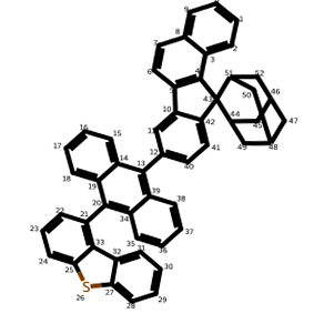 c1ccc2c3c(ccc2c1)-c1cc(-c2c4ccccc4c(-c4cccc5sc6ccccc6c45)c4ccccc24)ccc1C31C2CC3CC(C2)CC1C3